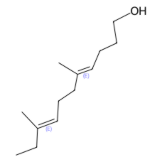 CC/C(C)=C/CC/C(C)=C/CCCO